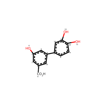 O=C(O)c1cc(O)cc(-c2ccc(O)c(O)c2)c1